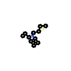 c1cc(-c2cccc(N(c3cccc(-c4cccc5ccccc45)c3)c3ccc4c(c3)C3(c5ccccc5-c5ccccc53)c3ccccc3-4)c2)cc(-c2cccc3c2sc2ccccc23)c1